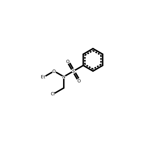 CCON(CCl)S(=O)(=O)c1ccccc1